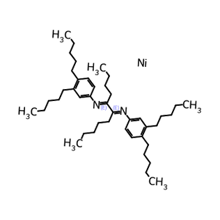 CCCCCC(=N\c1ccc(CCCCC)c(CCCCC)c1)/C(CCCC)=N/c1ccc(CCCCC)c(CCCCC)c1.[Ni]